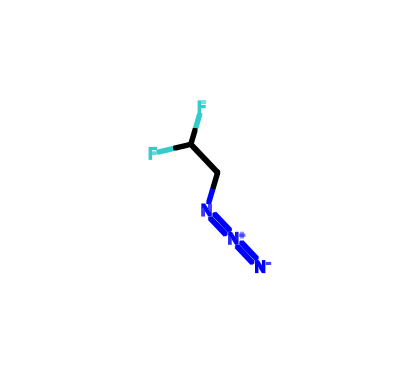 [N-]=[N+]=NCC(F)F